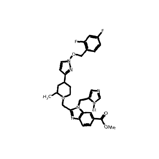 CCn1cncc1Cn1c(CN2CCC(c3ccn(OCc4ccc(F)cc4F)n3)CC2C)nc2ccc(C(=O)OC)cc21